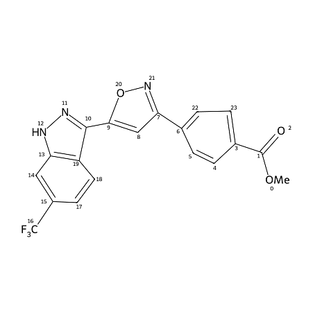 COC(=O)c1ccc(-c2cc(-c3n[nH]c4cc(C(F)(F)F)ccc34)on2)cc1